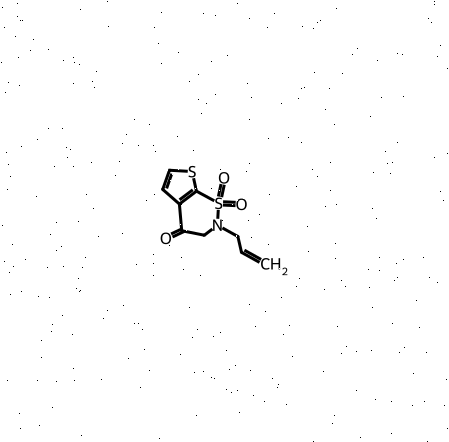 C=CCN1CC(=O)c2ccsc2S1(=O)=O